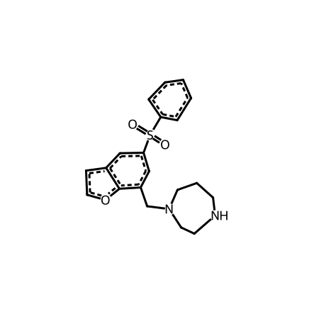 O=S(=O)(c1ccccc1)c1cc(CN2CCCNCC2)c2occc2c1